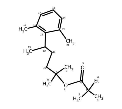 CCC(C)(C)C(=O)OC(C)(C)CCC(C)c1c(C)cccc1C